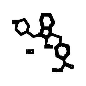 CCCCc1c(Cc2ccc(C(=O)OC)cc2)c2ccccc2n1CC1CCNCC1.Cl